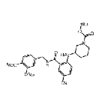 COc1ccc(CNC(=O)c2cc(C#N)ccc2[AsH]C2CCCN(C(=O)OC(C)(C)C)C2)cc1OC